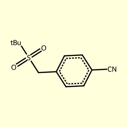 CC(C)(C)S(=O)(=O)Cc1ccc(C#N)cc1